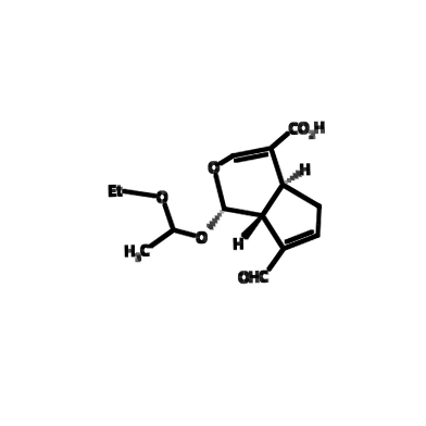 CCOC(C)O[C@@H]1OC=C(C(=O)O)[C@H]2CC=C(C=O)[C@H]12